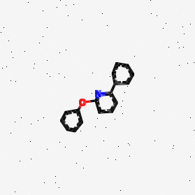 c1ccc(Oc2cccc(-c3ccccc3)n2)cc1